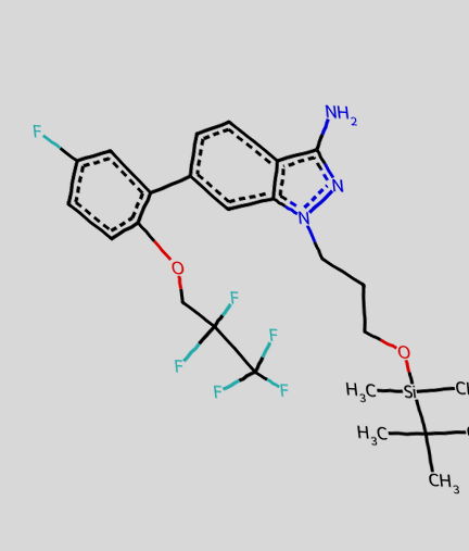 CC(C)(C)[Si](C)(C)OCCCn1nc(N)c2ccc(-c3cc(F)ccc3OCC(F)(F)C(F)(F)F)cc21